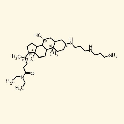 CCN(CC)C(=O)CC[C@@H](C)[C@H]1CCC2C3C(CC[C@@]21C)[C@@]1(C)CC[C@H](NCCCNCCCN)CC1C[C@H]3O